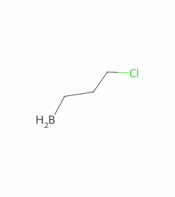 BCCCCl